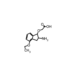 CCOc1cccc2c1CC(N)C2OCC(=O)O